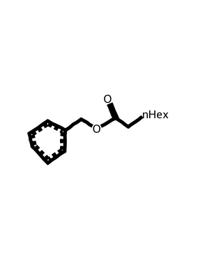 [CH2]CCCCCCC(=O)OCc1ccccc1